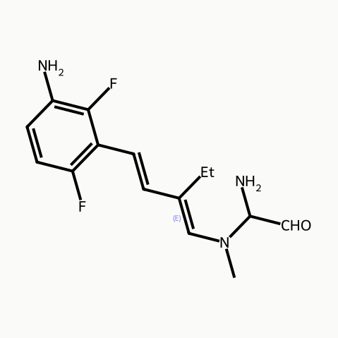 CC/C(C=Cc1c(F)ccc(N)c1F)=C\N(C)C(N)C=O